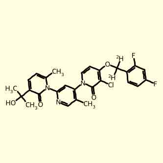 [2H]C([2H])(Oc1ccn(-c2cc(-n3c(C)ccc(C(C)(C)O)c3=O)ncc2C)c(=O)c1Cl)c1ccc(F)cc1F